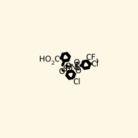 O=C(O)c1ccccc1CS(=O)(=O)c1ccc(Cl)cc1NS(=O)(=O)c1ccc(Cl)c(C(F)(F)F)c1